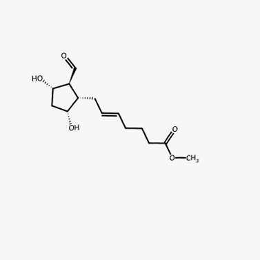 COC(=O)CCCC=CC[C@H]1[C@H](C=O)[C@@H](O)C[C@H]1O